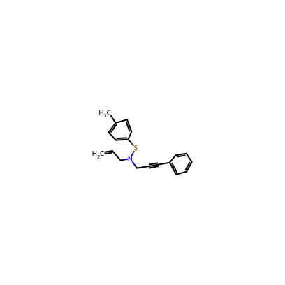 C=CCN(CC#Cc1ccccc1)Sc1ccc(C)cc1